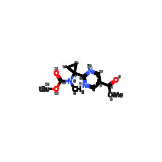 COC(=O)c1cnc(C2(N(C)C(=O)OC(C)(C)C)CC2)nc1